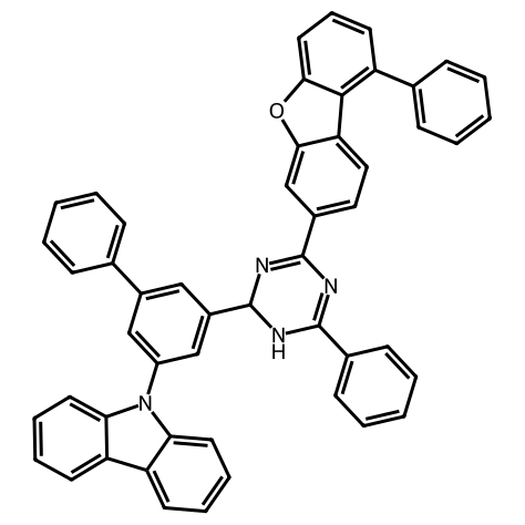 c1ccc(C2=NC(c3ccc4c(c3)oc3cccc(-c5ccccc5)c34)=NC(c3cc(-c4ccccc4)cc(-n4c5ccccc5c5ccccc54)c3)N2)cc1